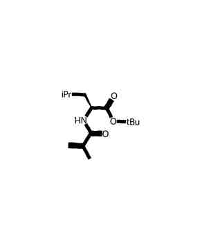 C=C(C)C(=O)N[C@@H](CC(C)C)C(=O)OC(C)(C)C